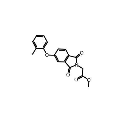 COC(=O)CN1C(=O)c2ccc(Oc3ccccc3C)cc2C1=O